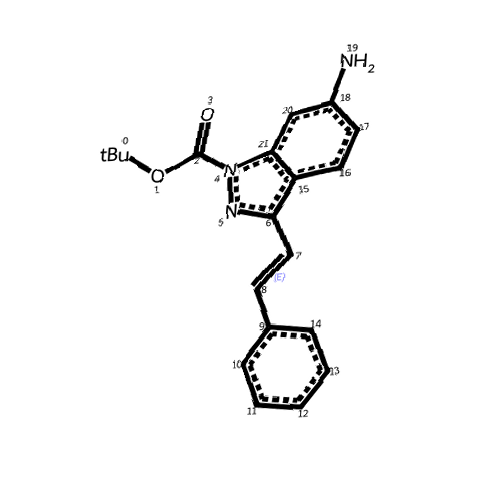 CC(C)(C)OC(=O)n1nc(/C=C/c2ccccc2)c2ccc(N)cc21